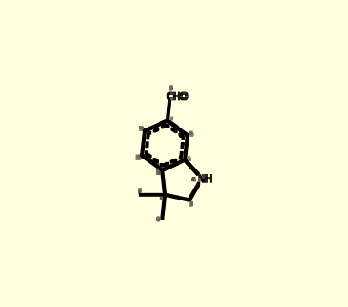 CC1(C)CNc2cc(C=O)ccc21